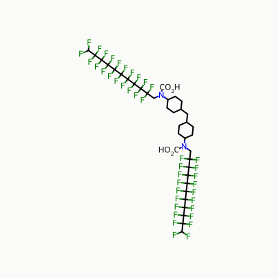 O=C(O)N(CC(F)(F)C(F)(F)C(F)(F)C(F)(F)C(F)(F)C(F)(F)C(F)(F)C(F)(F)C(F)(F)C(F)F)C1CCC(CC2CCC(N(CC(F)(F)C(F)(F)C(F)(F)C(F)(F)C(F)(F)C(F)(F)C(F)(F)C(F)(F)C(F)(F)C(F)F)C(=O)O)CC2)CC1